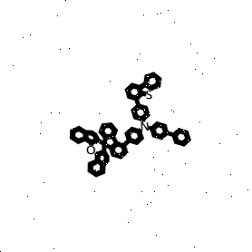 c1ccc(-c2ccc(N(c3ccc(-c4cccc5c4-c4ccccc4C54c5ccc6ccccc6c5Oc5c4ccc4ccccc54)cc3)c3ccc(-c4cccc5c4sc4ccccc45)cc3)cc2)cc1